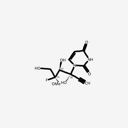 C#C[C@@](O)([C@H](O)[C@@](F)(CO)OC)n1ccc(=O)[nH]c1=O